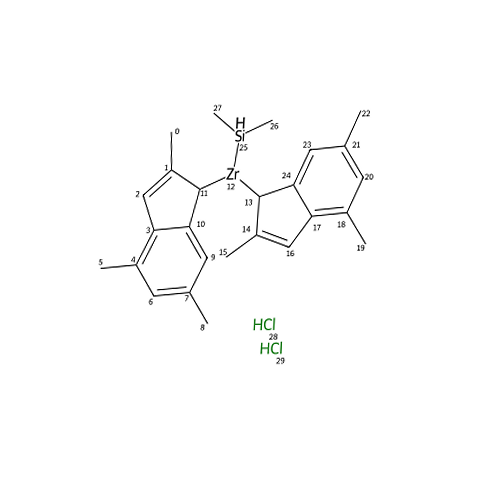 CC1=Cc2c(C)cc(C)cc2[CH]1[Zr]([CH]1C(C)=Cc2c(C)cc(C)cc21)[SiH](C)C.Cl.Cl